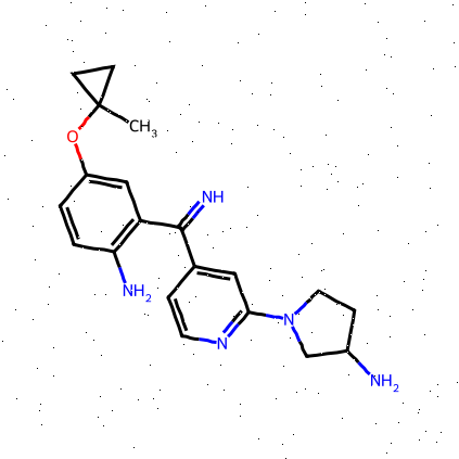 CC1(Oc2ccc(N)c(C(=N)c3ccnc(N4CCC(N)C4)c3)c2)CC1